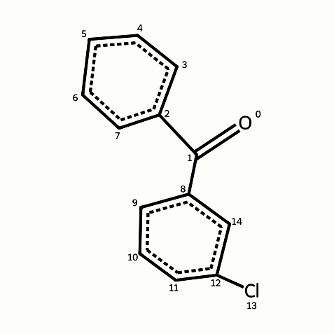 O=C(c1ccccc1)c1cccc(Cl)c1